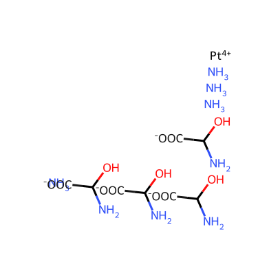 N.N.N.N.NC(O)C(=O)[O-].NC(O)C(=O)[O-].NC(O)C(=O)[O-].NC(O)C(=O)[O-].[Pt+4]